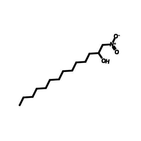 CCCCCCCCCCCCC(O)C[N+](=O)[O-]